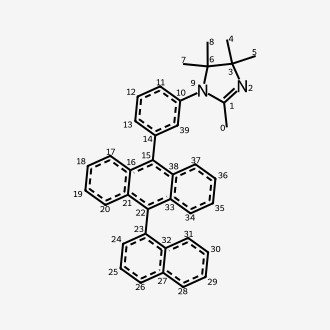 CC1=NC(C)(C)C(C)(C)N1c1cccc(-c2c3ccccc3c(-c3cccc4ccccc34)c3ccccc23)c1